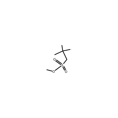 [CH2]C(C)(C)CS(=O)(=O)OC